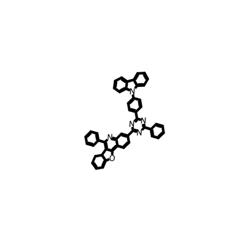 C1=CCC2C(=C1)Oc1c2c(-c2ccccc2)nc2cc(-c3nc(-c4ccccc4)nc(-c4ccc(-n5c6ccccc6c6ccccc65)cc4)n3)ccc12